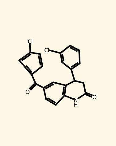 O=C1CC(c2cccc(Cl)c2)c2cc(C(=O)c3ccc(Cl)cc3)ccc2N1